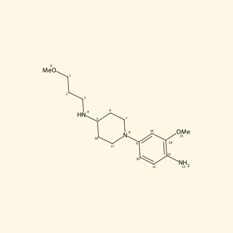 COCCCNC1CCN(c2ccc(N)c(OC)c2)CC1